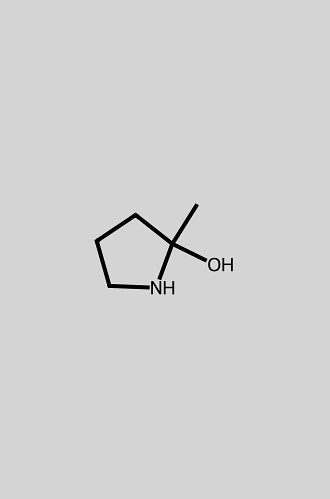 CC1(O)CCCN1